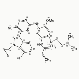 C=CC(=O)Nc1cc(Nc2ncc(C#N)c(-c3cn(C4CC4)c4c(F)cccc34)n2)c(OC)cc1N(C)CCN(C)C